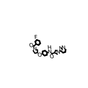 O=C(Nc1ccc(O[C@@H]2CCN(C(=O)c3cccc(F)c3)C2)cc1)C1CN(c2cccnn2)C1